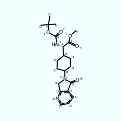 COC(=O)[C@@H](NC(=O)OC(C)(C)C)C1CCC(N2Cc3ncccc3C2=O)CC1